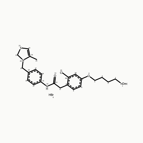 Br.CCCCCCCCCCCCCCOc1ccc(CC(=O)Nc2ccc(CN3CSC=C3C)cc2)c(Cl)c1